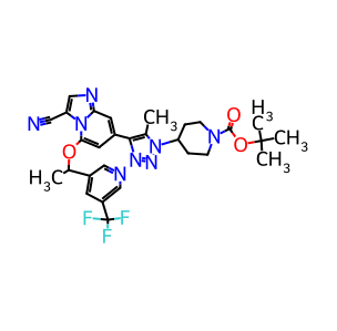 Cc1c(-c2cc(OC(C)c3cncc(C(F)(F)F)c3)n3c(C#N)cnc3c2)nnn1C1CCN(C(=O)OC(C)(C)C)CC1